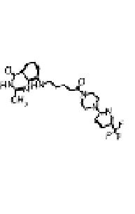 Cc1nc2c(NCCCCC(=O)N3CCN(c4ccc(C(F)(F)F)cn4)CC3)cccc2c(=O)[nH]1